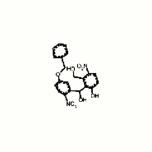 O=[N+]([O-])c1ccc(OCc2ccccc2)cc1C(O)c1c(O)ccc([N+](=O)[O-])c1CO